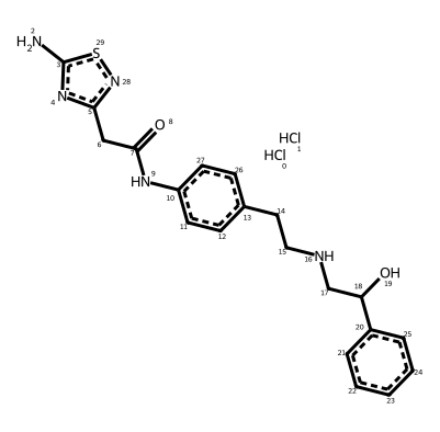 Cl.Cl.Nc1nc(CC(=O)Nc2ccc(CCNCC(O)c3ccccc3)cc2)ns1